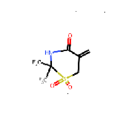 C=C1CS(=O)(=O)C(C(F)(F)F)(C(F)(F)F)NC1=O